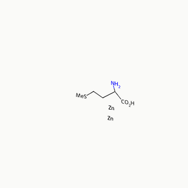 CSCCC(N)C(=O)O.[Zn].[Zn]